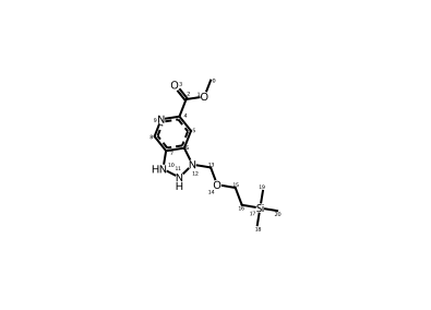 COC(=O)c1cc2c(cn1)NNN2COCC[Si](C)(C)C